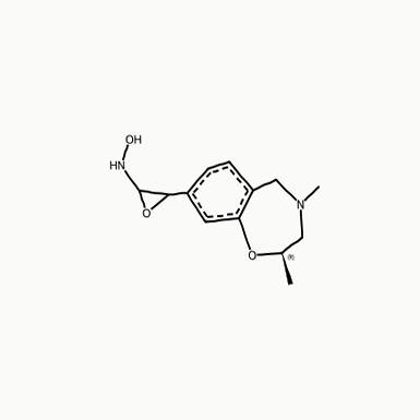 C[C@@H]1CN(C)Cc2ccc(C3OC3NO)cc2O1